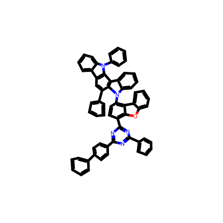 c1ccc(-c2ccc(-c3nc(-c4ccccc4)nc(-c4ccc(-n5c6ccccc6c6c5c(-c5ccccc5)cc5c7ccccc7n(-c7ccccc7)c56)c5c4oc4ccccc45)n3)cc2)cc1